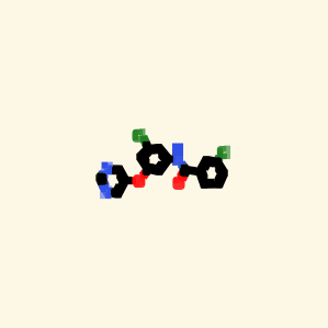 O=C(Nc1cc(Cl)cc(Oc2cncnc2)c1)c1cccc(Cl)c1